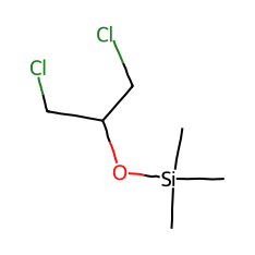 C[Si](C)(C)OC(CCl)CCl